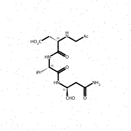 CC(=O)CN[C@@H](CC(=O)O)C(=O)N[C@H](C(=O)N[C@H](C=O)CC(N)=O)C(C)C